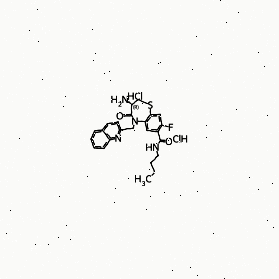 CCCCNC(=O)c1cc2c(cc1F)SC[C@H](N)C(=O)N2Cc1ccc2ccccc2n1.Cl.Cl